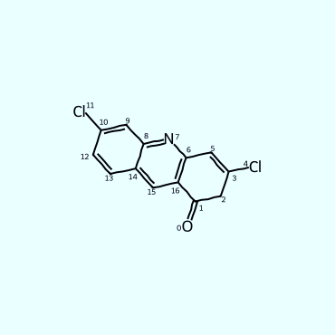 O=C1CC(Cl)=Cc2nc3cc(Cl)ccc3cc21